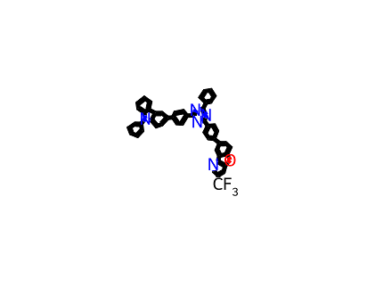 FC(F)(F)c1cnc2c(c1)oc1ccc(-c3ccc(-c4nc(-c5ccccc5)nc(-c5ccc(-c6ccc7c(c6)c6ccccc6n7-c6ccccc6)cc5)n4)cc3)cc12